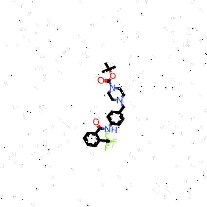 CC(C)(C)OC(=O)N1CCN(Cc2ccc(NC(=O)c3ccccc3C(F)(F)F)cc2)CC1